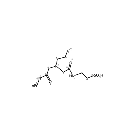 CCCNC(=O)CN(CCC(C)C)CC(=O)NCCS(=O)(=O)O